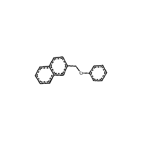 c1ccc(OCc2ccc3ccccc3c2)cc1